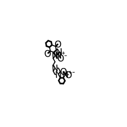 O=C1c2ccccc2C(=O)c2c1n[n+]([O-])n2CCCN1CCN(c2ccccc2[N+](=O)[O-])CC1